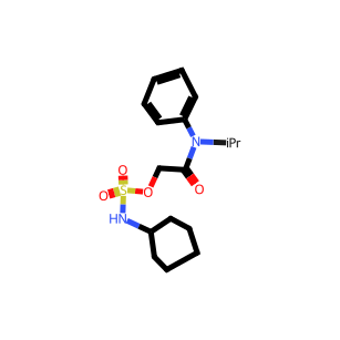 CC(C)N(C(=O)COS(=O)(=O)NC1CCCCC1)c1ccccc1